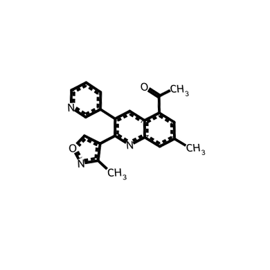 CC(=O)c1cc(C)cc2nc(-c3conc3C)c(-c3cccnc3)cc12